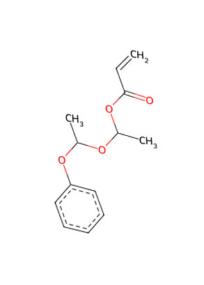 C=CC(=O)OC(C)OC(C)Oc1ccccc1